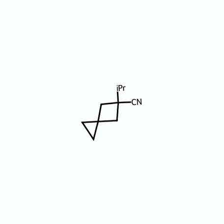 CC(C)C1(C#N)CC2(CC2)C1